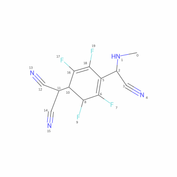 CNC(C#N)C1=C(F)C(F)C(C(C#N)C#N)C(F)=C1F